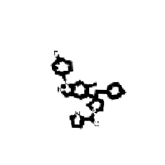 Cc1cc2c(cnn2-c2ccc(F)cc2)cc1C1(Cc2ccccc2)CCN(C(=O)C2=CCC=N2)C1